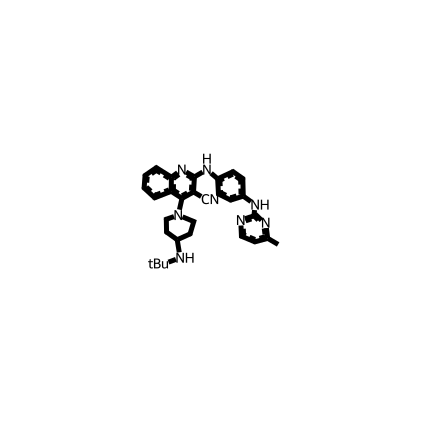 Cc1ccnc(Nc2ccc(Nc3nc4ccccc4c(N4CCC(NC(C)(C)C)CC4)c3C#N)cc2)n1